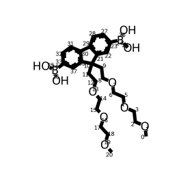 COCCOCCOCCC1(CCOCCOCCOC)c2cc(B(O)O)ccc2-c2ccc(B(O)O)cc21